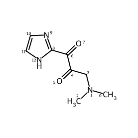 CN(C)CC(=O)C(=O)c1ncc[nH]1